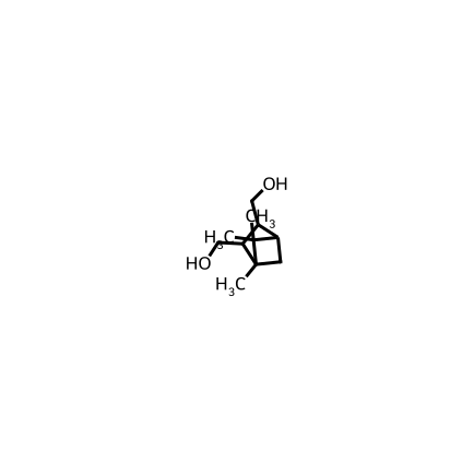 CC1(C)C2CC1(C)C(CO)C2CO